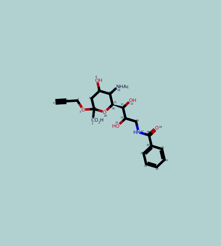 C#CCOC1(C(=O)O)CC(O)C(NC(C)=O)[C@@H](C(O)C(O)CNC(=O)c2ccccc2)O1